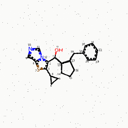 OC(c1c(C2CC2)sc2cncn12)C1CCCC1Cc1ccccc1